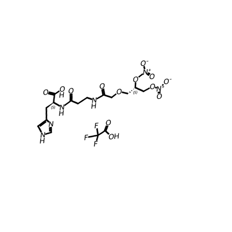 O=C(COC[C@@H](CO[N+](=O)[O-])O[N+](=O)[O-])NCCC(=O)N[C@@H](Cc1c[nH]cn1)C(=O)O.O=C(O)C(F)(F)F